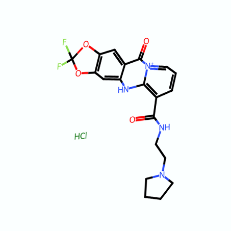 Cl.O=C(NCCN1CCCC1)c1ccc[n+]2c(=O)c3cc4c(cc3[nH]c12)OC(F)(F)O4